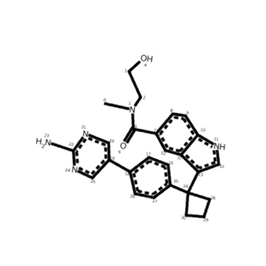 CN(CCO)C(=O)c1ccc2[nH]cc(C3(c4ccc(-c5cnc(N)nc5)cc4)CCC3)c2c1